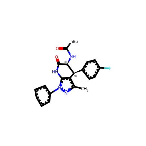 CCCCC(=O)N[C@@H]1C(=O)Nc2c(c(C)nn2-c2ccccc2)[C@@H]1c1ccc(F)cc1